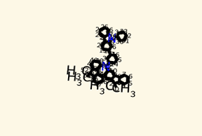 CC1(C)c2ccccc2-c2cc(N(c3cccc(-c4ccc5c6ccccc6n(-c6ccccc6)c5c4)c3)c3cccc4c3-c3ccccc3C4(C)C)ccc21